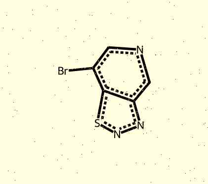 Brc1cncc2nnsc12